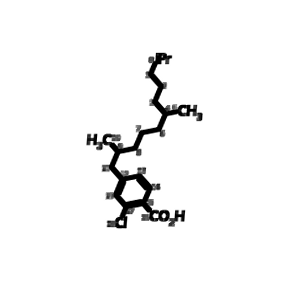 CC(C)CCCC(C)CCCC(C)Cc1ccc(C(=O)O)c(Cl)c1